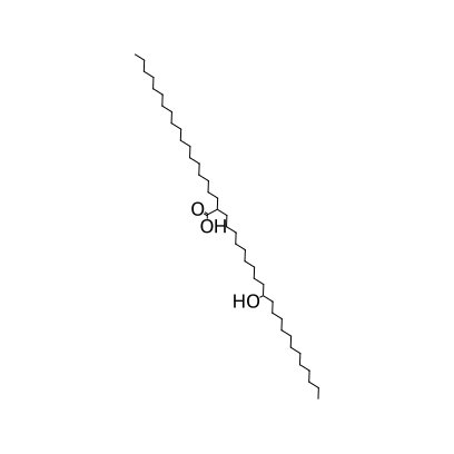 CCCCCCCCCCCCCCCCCCC(CCCCCCCCCC(O)CCCCCCCCCCCC)C(=O)O